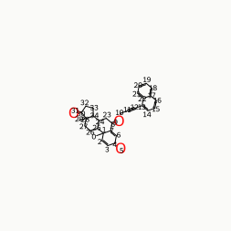 CC12C=CC(=O)C=C1C(OCC#Cc1cccc3ccccc13)CC1C2CCC2(C)C(=O)CCC12